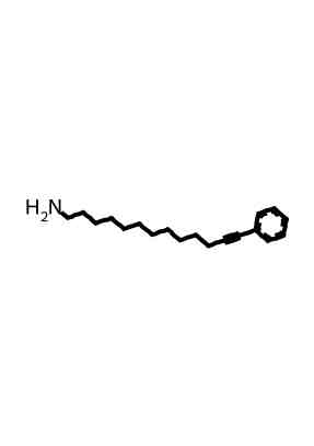 NCCCCCCCCCCCC#Cc1ccccc1